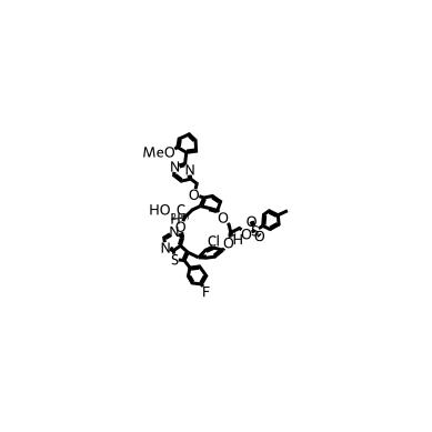 COc1ccccc1-c1nccc(COc2ccc3cc2C[C@H](C(=O)O)Oc2ncnc4sc(-c5ccc(F)cc5)c(c24)-c2ccc(c(Cl)c2)O[C@H](COS(=O)(=O)c2ccc(C)cc2)CO3)n1